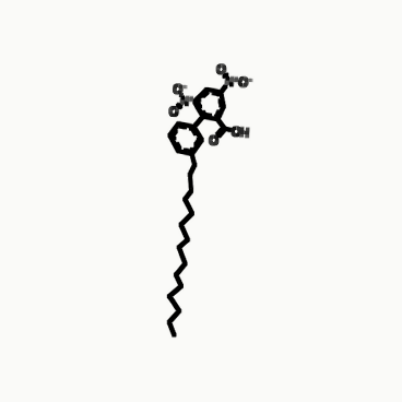 CCCCCCCCCCCCCCCc1cccc(-c2c(C(=O)O)cc([N+](=O)[O-])cc2[N+](=O)[O-])c1